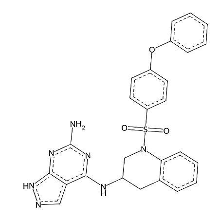 Nc1nc(NC2Cc3ccccc3N(S(=O)(=O)c3ccc(Oc4ccccc4)cc3)C2)c2cn[nH]c2n1